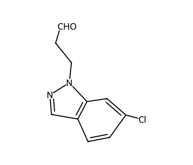 O=CCCn1ncc2ccc(Cl)cc21